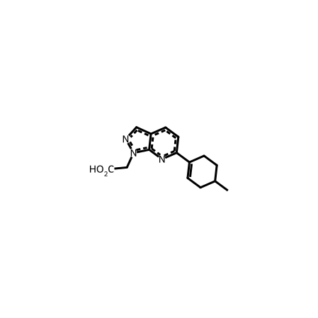 CC1CC=C(c2ccc3cnn(CC(=O)O)c3n2)CC1